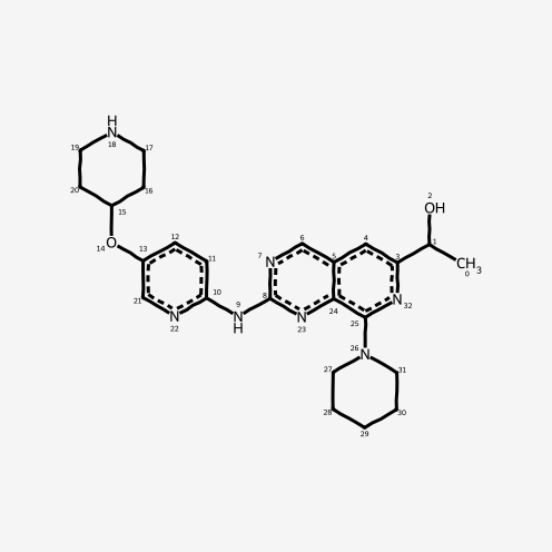 CC(O)c1cc2cnc(Nc3ccc(OC4CCNCC4)cn3)nc2c(N2CCCCC2)n1